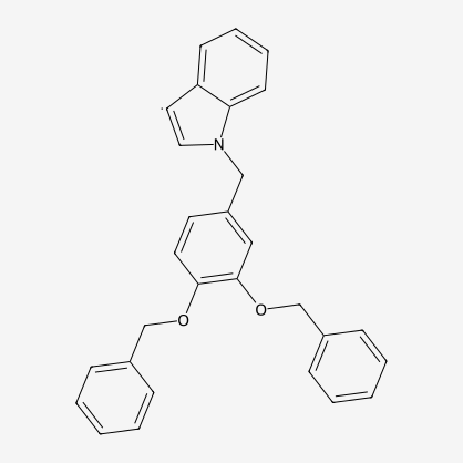 [c]1cn(Cc2ccc(OCc3ccccc3)c(OCc3ccccc3)c2)c2ccccc12